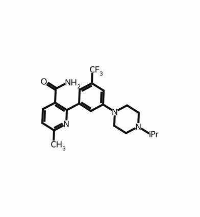 Cc1ccc(C(N)=O)c(-c2cc(N3CCN(C(C)C)CC3)cc(C(F)(F)F)c2)n1